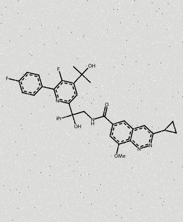 COc1cc(C(=O)NCC(O)(c2cc(C(C)(C)O)c(F)c(-c3ccc(F)cc3)n2)C(C)C)cc2cc(C3CC3)nnc12